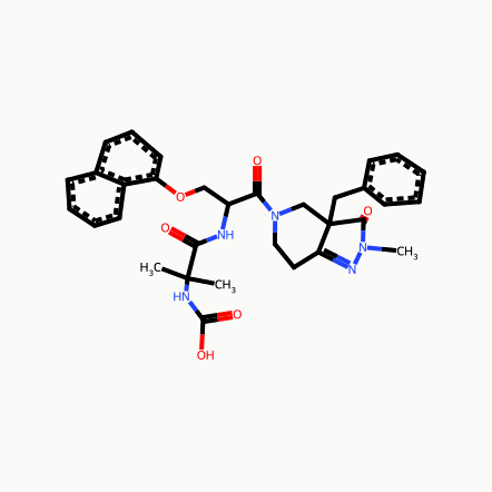 CN1N=C2CCN(C(=O)C(COc3cccc4ccccc34)NC(=O)C(C)(C)NC(=O)O)CC2(Cc2ccccc2)C1=O